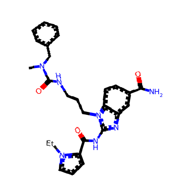 CCn1cccc1C(=O)Nc1nc2cc(C(N)=O)ccc2n1CCCNC(=O)N(C)Cc1ccccc1